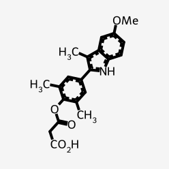 COc1ccc2[nH]c(-c3cc(C)c(OC(=O)CC(=O)O)c(C)c3)c(C)c2c1